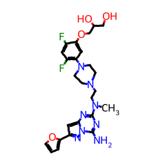 CN(CCN1CCN(c2cc(OCC(O)CO)c(F)cc2F)CC1)c1nc(N)n2nc(-c3ccco3)cc2n1